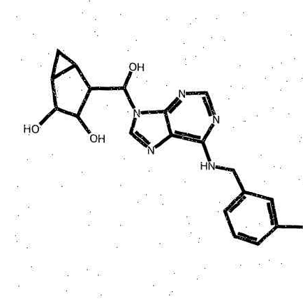 OC1C(O)C(C(O)n2cnc3c(NCc4cccc(I)c4)ncnc32)C2CC12